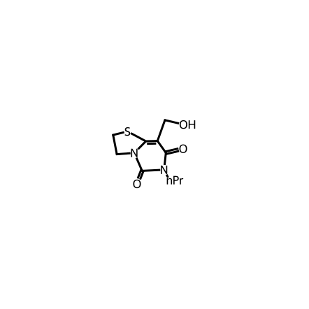 CCCn1c(=O)c(CO)c2n(c1=O)CCS2